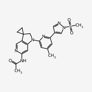 CC(=O)Nc1cc2c(cn1)C1(CC1)CN2c1cc(C)cc(-c2cnn(S(C)(=O)=O)c2)n1